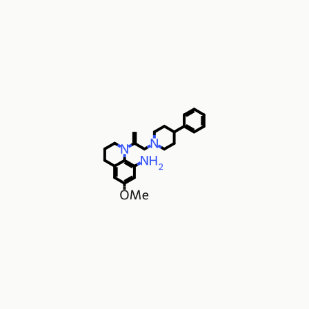 C=C(CN1CCC(c2ccccc2)CC1)N1CCCc2cc(OC)cc(N)c21